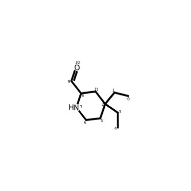 CCC1(CC)CCNC(C=O)C1